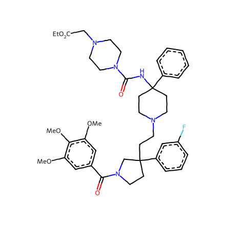 CCOC(=O)CN1CCN(C(=O)NC2(c3ccccc3)CCN(CCC3(c4cccc(F)c4)CCN(C(=O)c4cc(OC)c(OC)c(OC)c4)C3)CC2)CC1